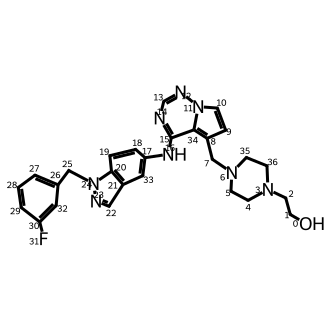 OCCN1CCN(Cc2ccn3ncnc(Nc4ccc5c(cnn5Cc5cccc(F)c5)c4)c23)CC1